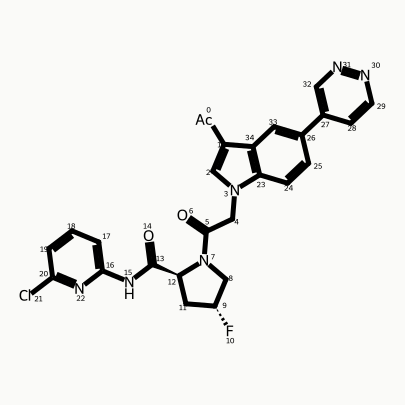 CC(=O)c1cn(CC(=O)N2C[C@H](F)C[C@H]2C(=O)Nc2cccc(Cl)n2)c2ccc(-c3ccnnc3)cc12